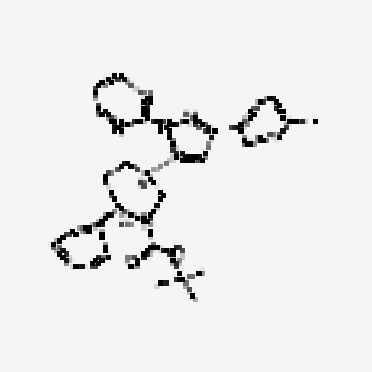 Cc1ccc(-c2cc([C@H]3CC[C@H](c4ccccc4)N(C(=O)OC(C)(C)C)C3)n(-c3ncccn3)n2)cc1